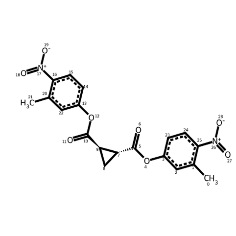 Cc1cc(OC(=O)[C@@H]2C[C@H]2C(=O)Oc2ccc([N+](=O)[O-])c(C)c2)ccc1[N+](=O)[O-]